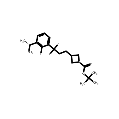 C[C@@H](N)c1cccc(C(F)(F)CCC2CN(C(=O)OC(C)(C)C)C2)c1F